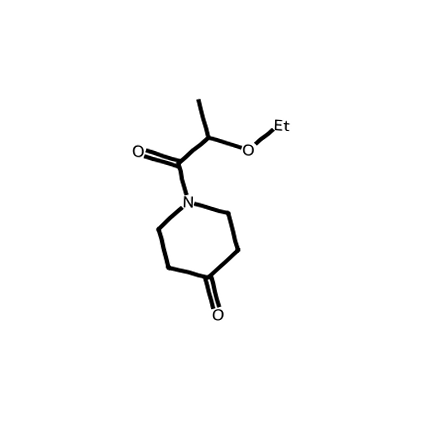 CCOC(C)C(=O)N1CCC(=O)CC1